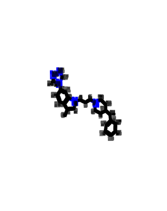 Cc1cn(CCCN2CCC(Cc3ccccc3)CC2)c2cc(-n3cnnc3)ccc12